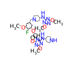 CCOc1cc(CN2CCC(Nc3nc(OC)nc(OC)n3)CC2)cc(OCC)c1F.COc1nc(NC2CCNCC2)nc(OC)n1